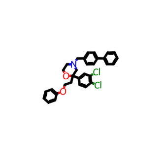 Clc1ccc(C2(CCOc3ccccc3)CN(Cc3ccc(-c4ccccc4)cc3)CCO2)cc1Cl